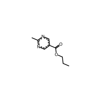 CCCOC(=O)c1cnc(C)nc1